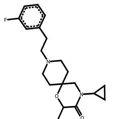 CC1OC2(CCN(CCc3cccc(F)c3)CC2)CN(C2CC2)C1=O